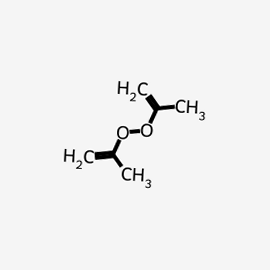 C=C(C)OOC(=C)C